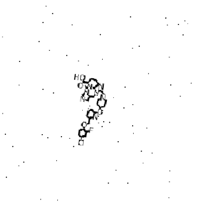 CCn1cncc1Cn1c(CN2CCC(Oc3cccc(COc4ccc(Cl)cc4F)n3)CC2)nc2ccc(C(=O)O)nc21